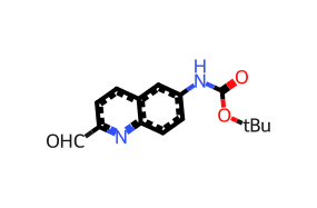 CC(C)(C)OC(=O)Nc1ccc2nc(C=O)ccc2c1